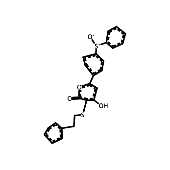 O=c1oc(-c2ccc([S+]([O-])c3ccccc3)cc2)cc(O)c1SCCc1ccccc1